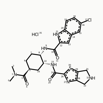 CN(C)C(=O)[C@H]1CC[C@H](NC(=O)c2cc3cc(Cl)ccc3[nH]2)[C@H](NC(=O)c2nc3c(s2)CNC3)C1.Cl